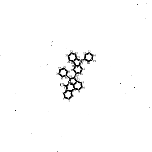 O=c1c2ccccc2c2cccc3c(-c4ccc5c(c4)c4ccccc4n5-c4ccccc4)c(-c4ccccc4)n1c32